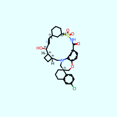 O=C1NS(=O)(=O)[C@@H]2CCC[C@H](/C=C/[C@H](O)[C@@H]3CC[C@H]3CN3C[C@@]4(CCCc5cc(Cl)ccc54)COc4ccc1cc43)C2